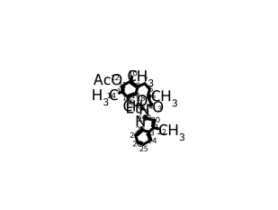 CCN(C(=O)C1(C)CCc2c(C)c(OC(C)=O)c(C)c(C)c2O1)c1cc(C)c2ccccc2n1